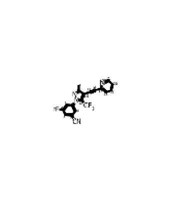 Cc1nn(-c2cc(F)cc(C#N)c2)c(C(F)(F)F)c1C#Cc1ccccn1